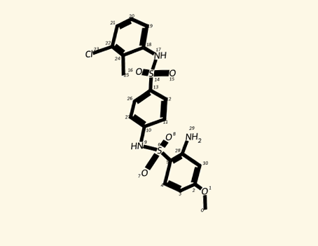 COc1ccc(S(=O)(=O)Nc2ccc(S(=O)(=O)Nc3cccc(Cl)c3C)cc2)c(N)c1